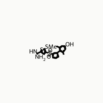 CSc1sc(C(=N)N)cc1S(=O)(=O)c1cccc(-c2c(C)cc(O)cc2C)c1